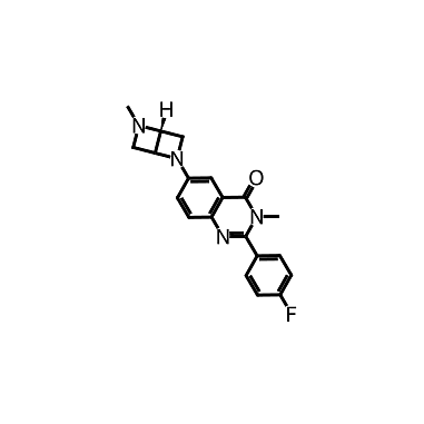 CN1CC2[C@H]1CN2c1ccc2nc(-c3ccc(F)cc3)n(C)c(=O)c2c1